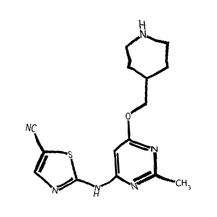 Cc1nc(Nc2ncc(C#N)s2)cc(OCC2CCNCC2)n1